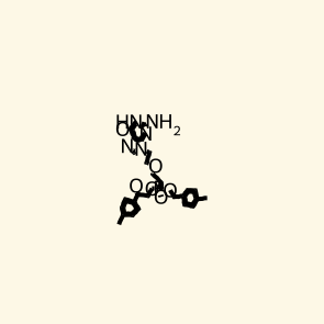 Cc1ccc(COP(=O)(CCOCCn2cnc3c(=O)[nH]c(N)nc32)OCC(=O)c2ccc(C)cc2)cc1